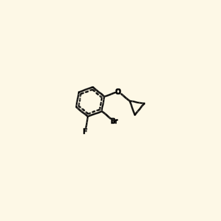 Fc1cccc(OC2CC2)c1Br